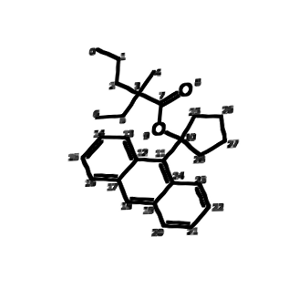 CCCC(C)(CC)C(=O)OC1(c2c3ccccc3cc3ccccc23)CCCC1